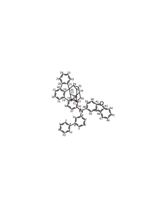 c1ccc(-c2cccc(N(c3ccc(-c4cccc5c4C4(c6ccccc6-5)C5CC6CC(C5)CC4C6)cc3)c3ccc4oc5ccccc5c4c3)c2)cc1